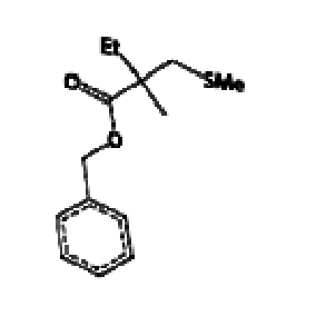 CCC(C)(CSC)C(=O)OCc1ccccc1